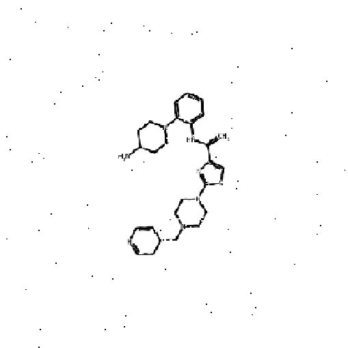 C=C(Nc1ccccc1N1CCC(N)CC1)c1csc(N2CCN(CC3C=CN=CC3)CC2)n1